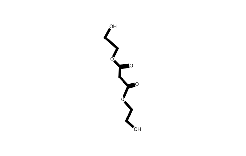 O=C(CC(=O)OCCO)OCCO